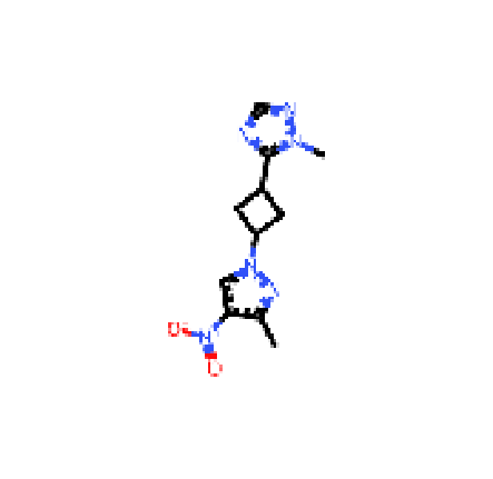 Cc1nn(C2CC(c3ncnn3C)C2)cc1[N+](=O)[O-]